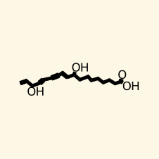 C=C[C@H](O)C#CC#CC=CC(O)CCCCCCCC(=O)O